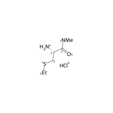 CCSC[C@H](N)C(=O)NC.Cl